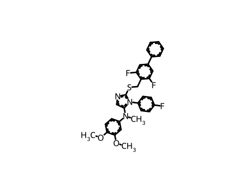 COc1ccc(N(C)c2cnc(SCc3c(F)cc(-c4ccccc4)cc3F)n2-c2ccc(F)cc2)cc1OC